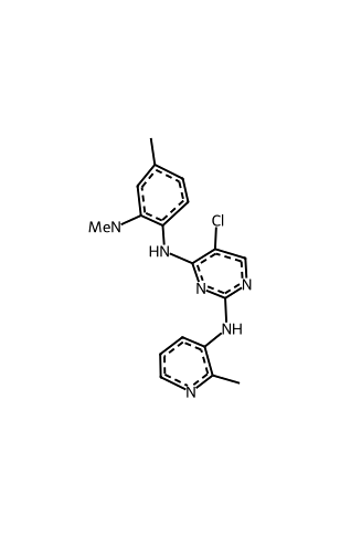 CNc1cc(C)ccc1Nc1nc(Nc2cccnc2C)ncc1Cl